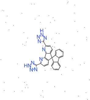 c1ccc2c(c1)-c1ccccc1C21c2ccc(-c3nn[nH]n3)nc2-c2nc(-c3nn[nH]n3)ccc21